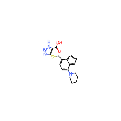 O=C(O)c1[nH]nnc1SCc1ccc(N2CCCCC2)c2ccccc12